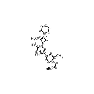 C=C(C(C)C)N(/C=C(\CCC)c1cnc(/C=C\CCCC)c(C)c1)C1CC(N2CCOCC2)=C1C